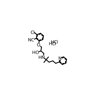 CC(C)(CCCc1ccccn1)NCC(O)COc1cccc(Cl)c1C#N.Cl.Cl